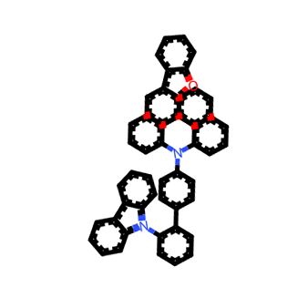 c1ccc(-c2ccccc2N(c2ccc(-c3ccccc3-n3c4ccccc4c4ccccc43)cc2)c2ccccc2-c2cccc3c2oc2ccccc23)cc1